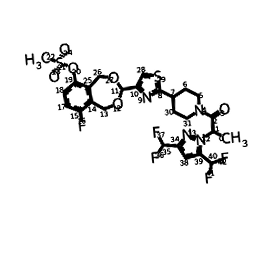 CC(C(=O)N1CCC(c2nc(C3OCc4c(F)ccc(OS(C)(=O)=O)c4CO3)cs2)CC1)n1nc(C(F)F)cc1C(F)F